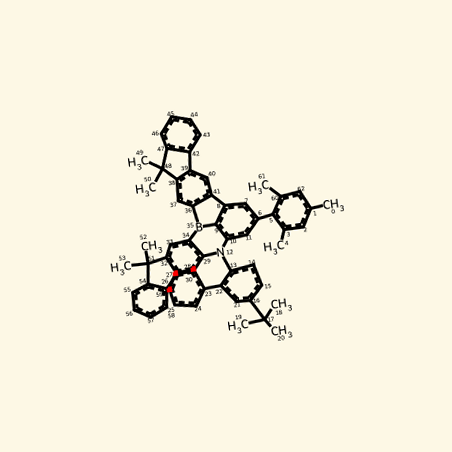 Cc1cc(C)c(-c2cc3c4c(c2)N(c2ccc(C(C)(C)C)cc2-c2ccccc2)c2cc5c(cc2B4c2cc4c(cc2-3)-c2ccccc2C4(C)C)C(C)(C)c2ccccc2-5)c(C)c1